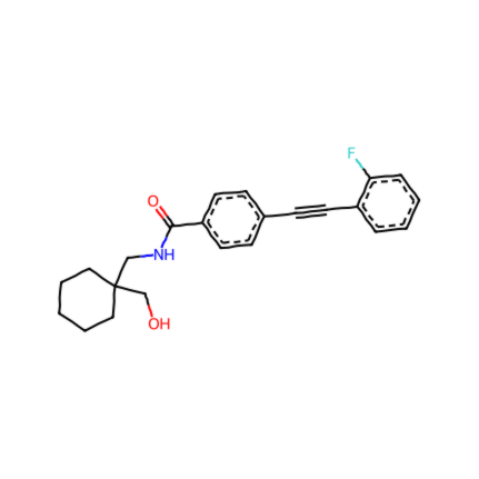 O=C(NCC1(CO)CCCCC1)c1ccc(C#Cc2ccccc2F)cc1